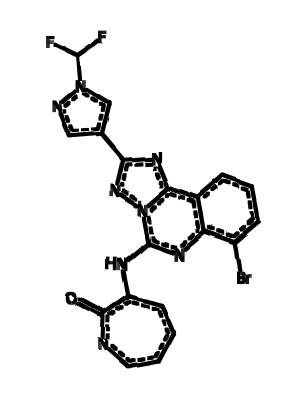 O=c1nccccc1Nc1nc2c(Br)cccc2c2nc(-c3cnn(C(F)F)c3)nn12